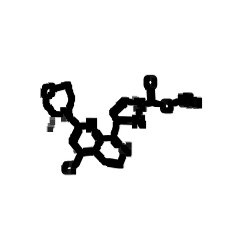 C[C@@H]1COCCN1c1cc(Cl)c2ccnc(-c3ccn(C(=O)OC(C)(C)C)n3)c2n1